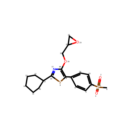 CS(=O)(=O)c1ccc(-c2sc(C3CCCCC3)nc2OCC2CO2)cc1